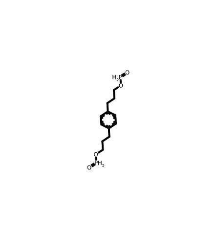 O=[PH2]OCCCc1ccc(CCCO[PH2]=O)cc1